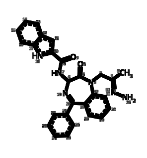 CC(CN1C(=O)C(NC(=O)c2cc3ccccc3[nH]2)N=C(c2ccccc2)c2ccccc21)=NN